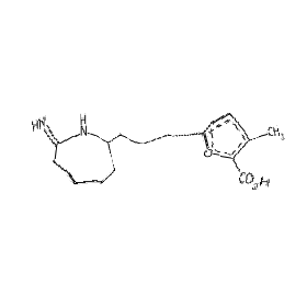 Cc1cc(CCCC2CCCCC(=N)N2)oc1C(=O)O